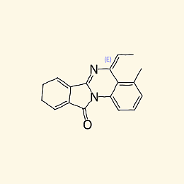 C/C=C1/N=C2C3=CCCC=C3C(=O)N2c2cccc(C)c21